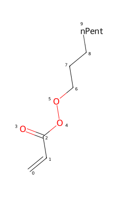 C=CC(=O)OOCCCCCCCC